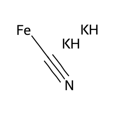 N#[C][Fe].[KH].[KH]